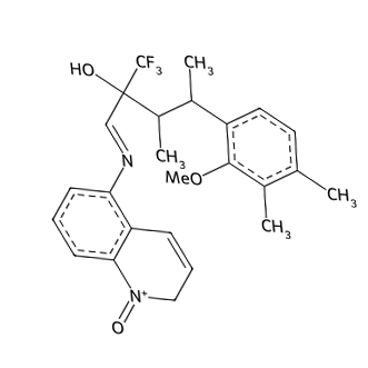 COc1c(C(C)C(C)C(O)(C=Nc2cccc3c2C=CC[N+]3=O)C(F)(F)F)ccc(C)c1C